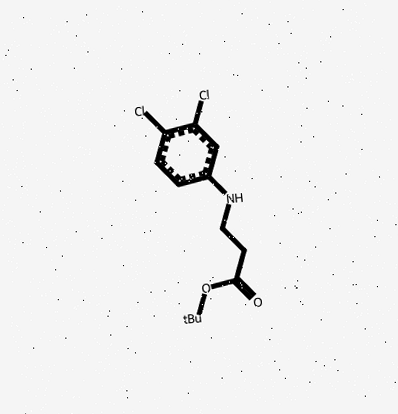 CC(C)(C)OC(=O)CCNc1ccc(Cl)c(Cl)c1